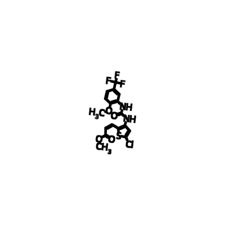 COC(=O)/C=C\c1sc(Cl)cc1NC(=O)Nc1cc(C(F)(F)F)ccc1OC